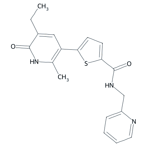 CCc1cc(-c2ccc(C(=O)NCc3ccccn3)s2)c(C)[nH]c1=O